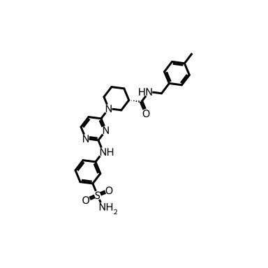 Cc1ccc(CNC(=O)[C@H]2CCCN(c3ccnc(Nc4cccc(S(N)(=O)=O)c4)n3)C2)cc1